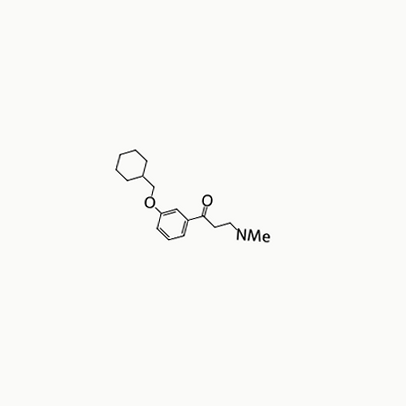 CNCCC(=O)c1cccc(OCC2CCCCC2)c1